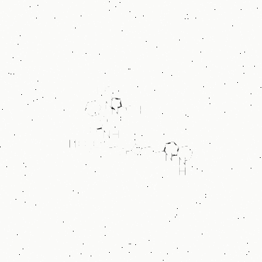 Cc1cc(C)n([C@H]2CCCC[C@@H]2OC(=O)N[C@@H](CCOC2CC(CCc3ccc4c(n3)NCCC4)C2)C(=O)O)n1